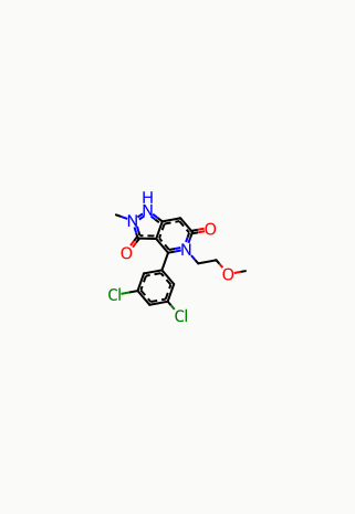 COCCn1c(-c2cc(Cl)cc(Cl)c2)c2c(=O)n(C)[nH]c2cc1=O